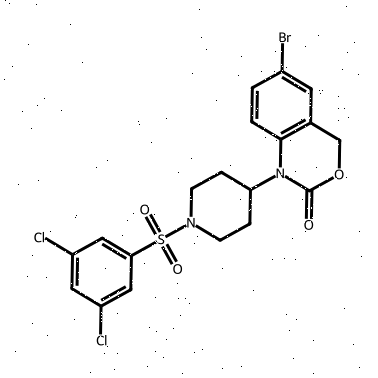 O=C1OCc2cc(Br)ccc2N1C1CCN(S(=O)(=O)c2cc(Cl)cc(Cl)c2)CC1